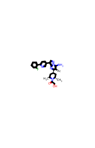 CC(=O)c1c([C@@H]2CC(C)N(C(=O)CO)[C@@H](C)C2)nc2c(-c3ccc(-c4ccccc4F)nc3)cnn2c1N